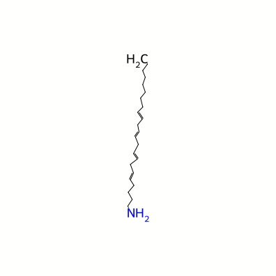 C=CCCCCCCC=CCC=CCC=CCC=CCCCCN